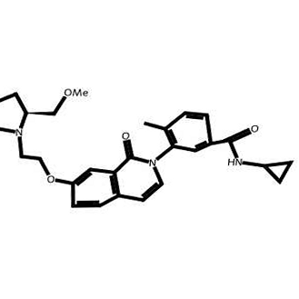 COC[C@@H]1CCCN1CCOc1ccc2ccn(-c3cc(C(=O)NC4CC4)ccc3C)c(=O)c2c1